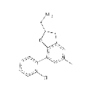 Cc1cc2c(c(-c3ccccc3Cl)c1)OC(CN)C2